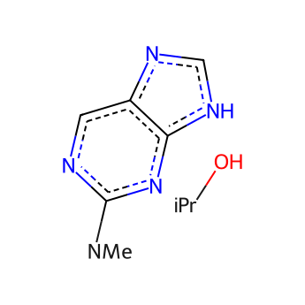 CC(C)O.CNc1ncc2nc[nH]c2n1